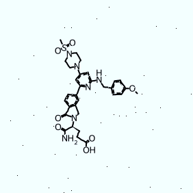 COc1ccc(CNc2cc(N3CCN(S(C)(=O)=O)CC3)cc(-c3ccc4c(c3)CN([C@@H](CCC(=O)O)C(N)=O)C4=O)n2)cc1